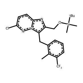 Cc1c(Cc2c(CO[Si](C)(C)C(C)(C)C)nc3ccc(Cl)nn23)cccc1C(F)(F)F